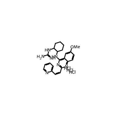 COc1ccc2nc(/C=C\c3ccccn3)nc(NC3CCCCC3NC(=N)N)c2c1.Cl.Cl.Cl